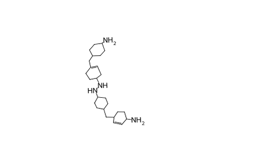 NC1C=CC(CC2CCC(NNC3CC=C(CC4CCC(N)CC4)CC3)CC2)CC1